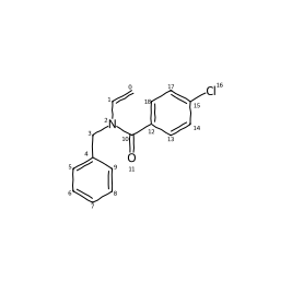 C=CN(Cc1ccccc1)C(=O)c1ccc(Cl)cc1